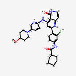 COC1CCN(c2ccc(Nc3cc(-c4ccc(NC(=O)C5CCCCC5)cc4F)nc4cc[nH]c(=O)c34)nc2)CC1